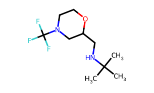 CC(C)(C)NCC1CN(C(F)(F)F)CCO1